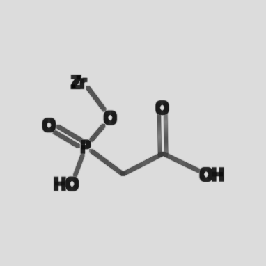 O=C(O)CP(=O)(O)[O][Zr]